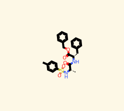 Cc1ccc(S(=O)(=O)N[C@@H](C)C(=O)N[C@@H](Cc2ccccc2)C(=O)OCc2ccccc2)cc1